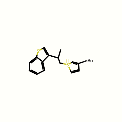 CCC(C)C1=C[SH](CC(C)c2csc3ccccc23)C=C1